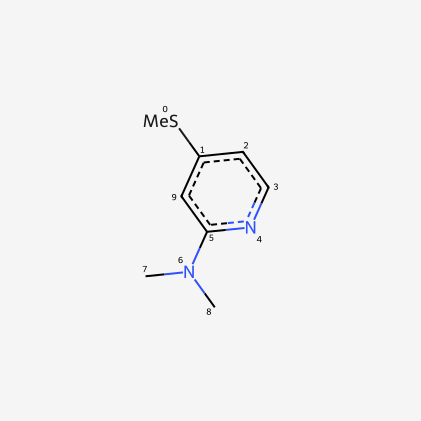 CSc1ccnc(N(C)C)c1